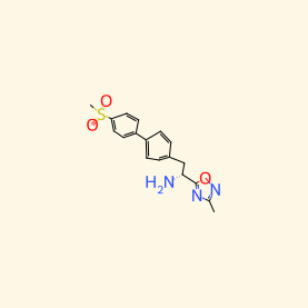 Cc1noc([C@H](N)Cc2ccc(-c3ccc(S(C)(=O)=O)cc3)cc2)n1